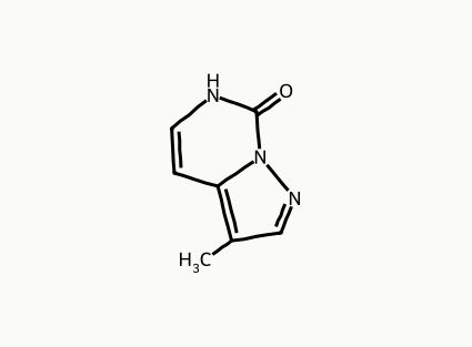 Cc1cnn2c(=O)[nH]ccc12